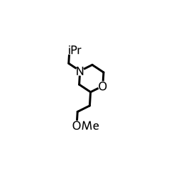 COCCC1CN(CC(C)C)CCO1